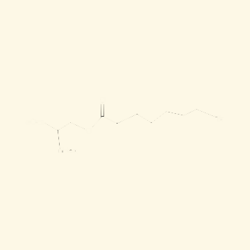 CCCCCCCCC(CCCCCC)COC(=O)CCCCCCBr